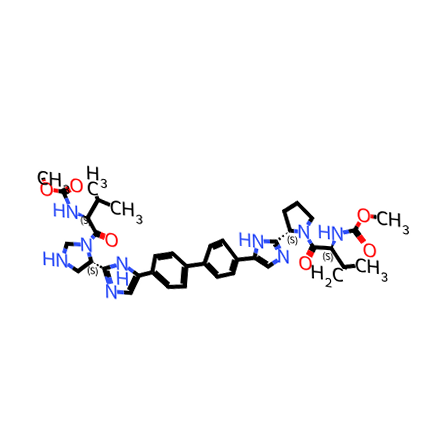 C=C(C)[C@H](NC(=O)OC)C(=O)N1CCC[C@H]1c1ncc(-c2ccc(-c3ccc(-c4cnc([C@@H]5CNCN5C(=O)[C@@H](NC(=O)OC)C(C)C)[nH]4)cc3)cc2)[nH]1